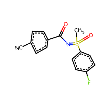 CS(=O)(=NC(=O)c1ccc(C#N)cc1)c1ccc(F)cc1